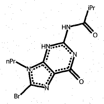 CCCn1c(Br)nc2c(=O)nc(NC(=O)C(C)C)[nH]c21